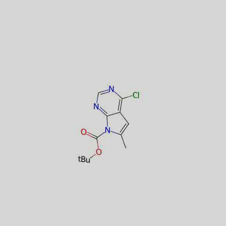 Cc1cc2c(Cl)ncnc2n1C(=O)OC(C)(C)C